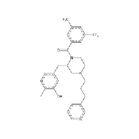 Cc1ccc(CC2CN(CCCc3cccnc3)CCN2C(=O)c2cc(C(F)(F)F)cc(C(F)(F)F)c2)cc1O